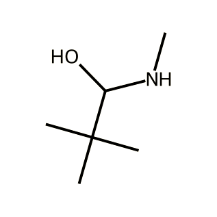 CNC(O)C(C)(C)C